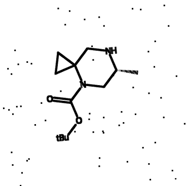 C[C@@H]1CN(C(=O)OC(C)(C)C)C2(CC2)CN1